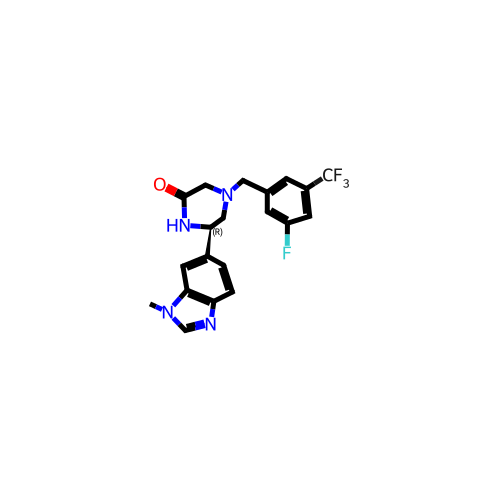 Cn1cnc2ccc([C@@H]3CN(Cc4cc(F)cc(C(F)(F)F)c4)CC(=O)N3)cc21